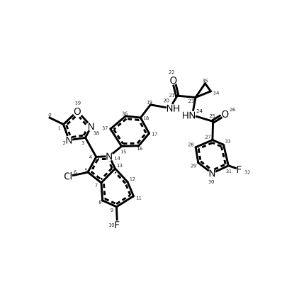 Cc1nc(-c2c(Cl)c3cc(F)ccc3n2-c2ccc(CNC(=O)C3(NC(=O)c4ccnc(F)c4)CC3)cc2)no1